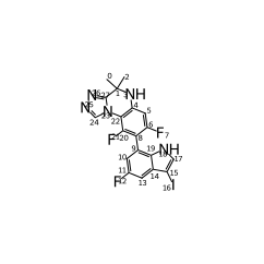 CC1(C)Nc2cc(F)c(-c3cc(F)cc4c(I)c[nH]c34)c(F)c2-n2cnnc21